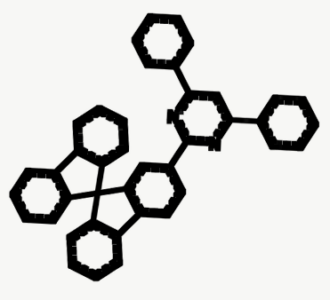 c1ccc(-c2cc(-c3ccccc3)nc(-c3ccc4c(c3)C3(c5ccccc5-c5ccccc53)c3ccccc3-4)n2)cc1